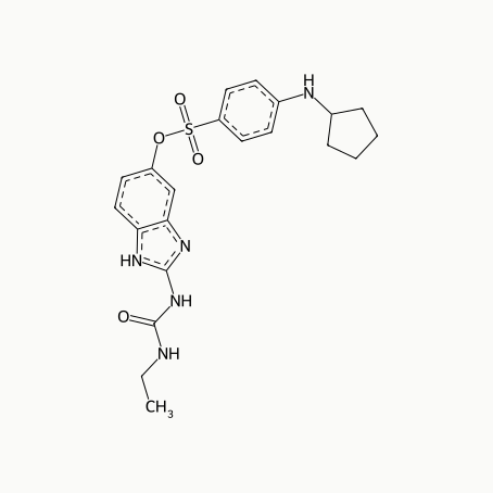 CCNC(=O)Nc1nc2cc(OS(=O)(=O)c3ccc(NC4CCCC4)cc3)ccc2[nH]1